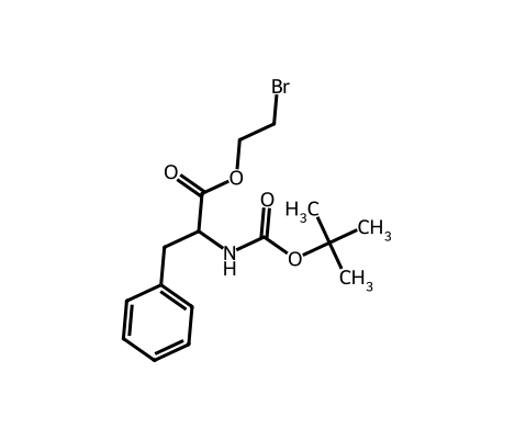 CC(C)(C)OC(=O)NC(Cc1ccccc1)C(=O)OCCBr